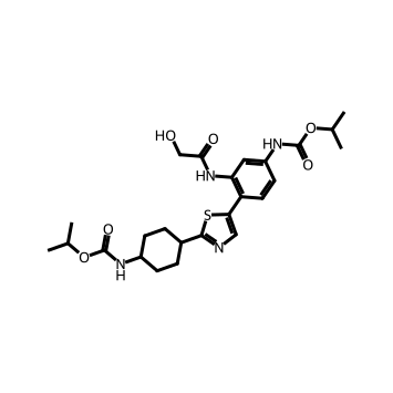 CC(C)OC(=O)Nc1ccc(-c2cnc(C3CCC(NC(=O)OC(C)C)CC3)s2)c(NC(=O)CO)c1